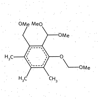 COCOc1c(C)c(C)c(C)c(COC)c1C(OC)OC